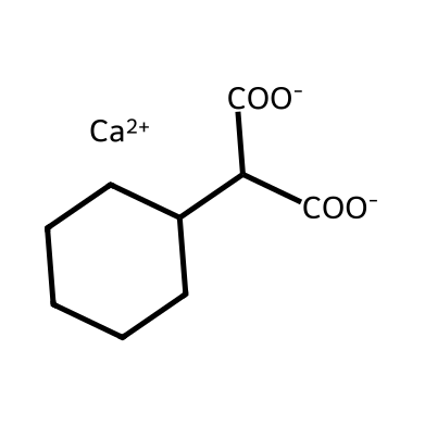 O=C([O-])C(C(=O)[O-])C1CCCCC1.[Ca+2]